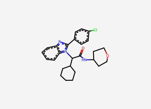 O=C(NC1CCOCC1)C(C1CCCCC1)n1c(-c2ccc(Cl)cc2)nc2ccccc21